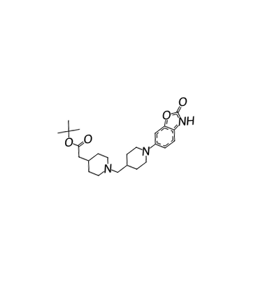 CC(C)(C)OC(=O)CC1CCN(CC2CCN(c3ccc4[nH]c(=O)oc4c3)CC2)CC1